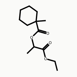 CCOC(=O)C(C)OC(=O)C1(C)CCCCC1